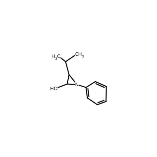 CC(C)C1C(O)N1c1ccccc1